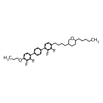 CCCCCC1CCC(CCCCc2ccc(-c3ccc(-c4ccc(OCCC)c(F)c4F)cc3)c(F)c2F)CO1